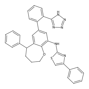 c1ccc(-c2csc(Nc3cc(-c4ccccc4-c4nnn[nH]4)cc4c3OCCCC4c3ccccc3)n2)cc1